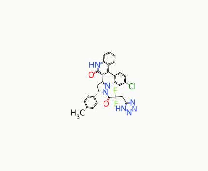 Cc1ccc([C@@H]2CC(c3c(-c4ccc(Cl)cc4)c4ccccc4[nH]c3=O)=NN2C(=O)C(F)(F)Cc2nnn[nH]2)cc1